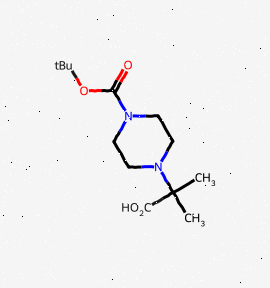 CC(C)(C)OC(=O)N1CCN(C(C)(C)C(=O)O)CC1